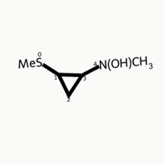 CSC1CC1N(C)O